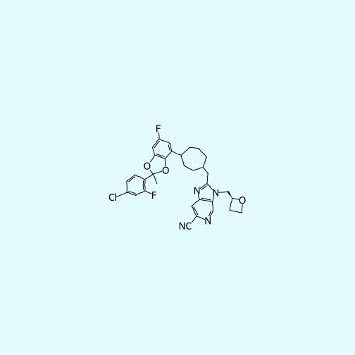 CC1(c2ccc(Cl)cc2F)Oc2cc(F)cc(C3CCCC(Cc4nc5cc(C#N)ncc5n4C[C@@H]4CCO4)CC3)c2O1